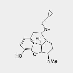 CC[C@@]12c3c4ccc(O)c3OC1[C@H](NC)CCC2C(NCC1CC1)C4